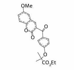 CCOC(=O)C(C)(C)Oc1ccc(C(=O)c2cc3cc(OC)ccc3oc2=O)cc1